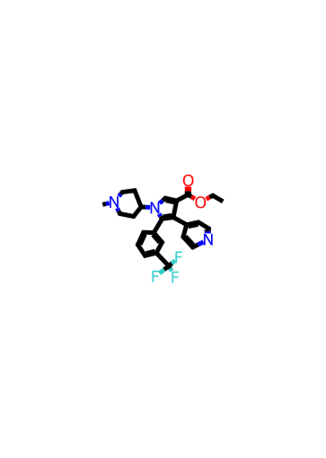 CCOC(=O)c1cn(C2CCN(C)CC2)c(-c2cccc(C(F)(F)F)c2)c1-c1ccncc1